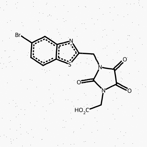 O=C(O)CN1C(=O)C(=O)N(Cc2nc3cc(Br)ccc3s2)C1=O